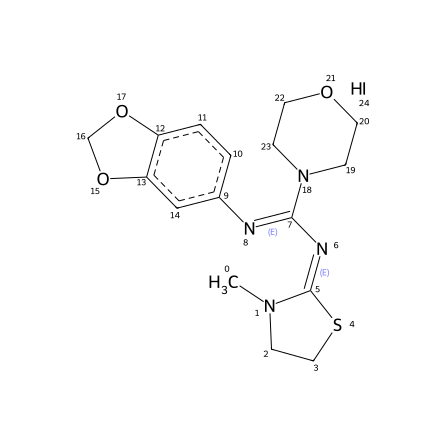 CN1CCS/C1=N/C(=N/c1ccc2c(c1)OCO2)N1CCOCC1.I